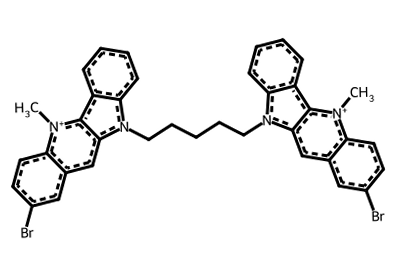 C[n+]1c2ccc(Br)cc2cc2c1c1ccccc1n2CCCCCn1c2ccccc2c2c1cc1cc(Br)ccc1[n+]2C